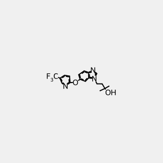 CC(C)(O)CCn1cnc2ccc(Oc3ccc(C(F)(F)F)cn3)cc21